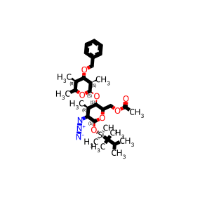 CC(=O)OCC1O[C@@H](O[Si](C)(C)C(C)(C)C(C)C)C(N=[N+]=[N-])[C@@H](C)[C@@H]1O[C@@H]1OC(C)[C@@H](C)C(OCc2ccccc2)[C@@H]1C